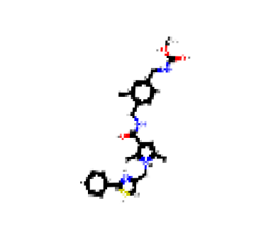 Cc1cc(CNC(=O)OC(C)(C)C)ccc1CNC(=O)c1cc(C)n(Cc2csc(-c3ccccc3)n2)c1C